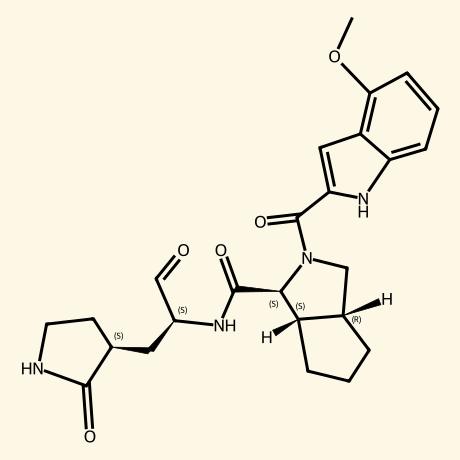 COc1cccc2[nH]c(C(=O)N3C[C@@H]4CCC[C@@H]4[C@H]3C(=O)N[C@H](C=O)C[C@@H]3CCNC3=O)cc12